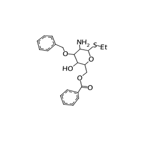 CCSC1OC(COC(=O)c2ccccc2)C(O)C(OCc2ccccc2)C1N